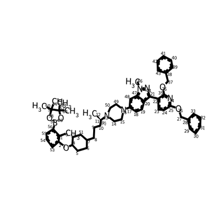 Cc1c(OC2CCC(CCC[C@@H](C)N3CCN(c4ccc5c(-c6ccc(OCc7ccccc7)nc6OCc6ccccc6)nn(C)c5c4)CC3)CC2)cccc1B1OC(C)(C)C(C)(C)O1